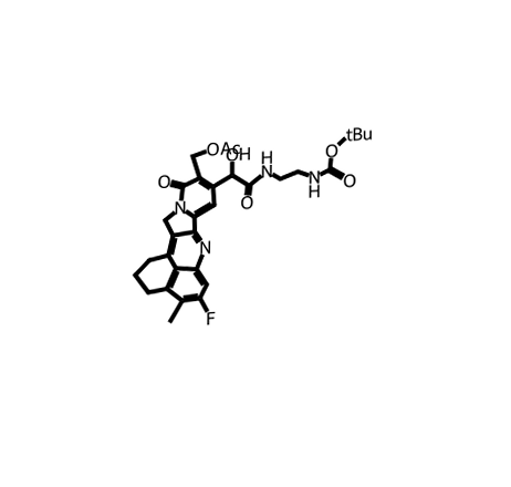 CC(=O)OCc1c(C(O)C(=O)NCCNC(=O)OC(C)(C)C)cc2n(c1=O)Cc1c-2nc2cc(F)c(C)c3c2c1CCC3